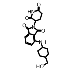 O=C1CCC(N2C(=O)c3cccc(NC4CCC(CO)CC4)c3C2=O)C(=O)N1